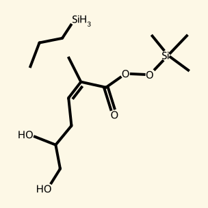 CC(=CCC(O)CO)C(=O)OO[Si](C)(C)C.CCC[SiH3]